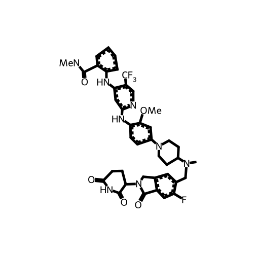 CNC(=O)c1ccccc1Nc1cc(Nc2ccc(N3CCC(N(C)Cc4cc5c(cc4F)C(=O)N(C4CCC(=O)NC4=O)C5)CC3)cc2OC)ncc1C(F)(F)F